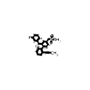 CC#Cc1cccc2c1-c1ccc(CS(N)(=O)=O)cc1C(c1cccc(F)c1)O2